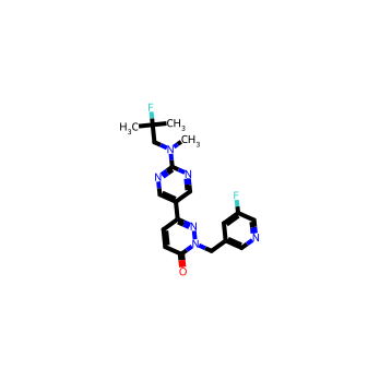 CN(CC(C)(C)F)c1ncc(-c2ccc(=O)n(Cc3cncc(F)c3)n2)cn1